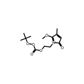 COC1=[N+](CCOC(=O)OOC(C)(C)C)C(=O)C=C1C